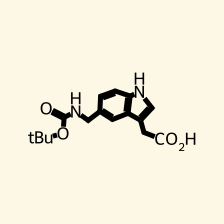 CC(C)(C)OC(=O)NCc1ccc2[nH]cc(CC(=O)O)c2c1